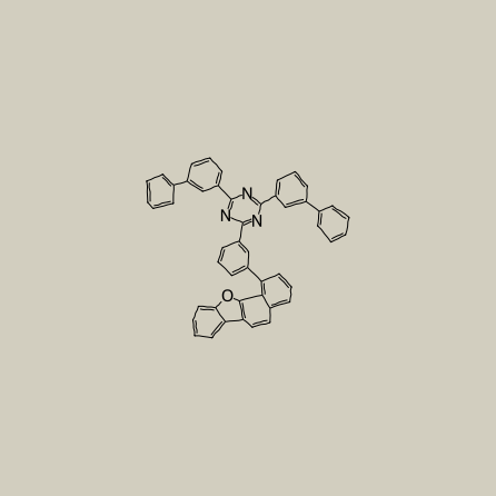 c1ccc(-c2cccc(-c3nc(-c4cccc(-c5ccccc5)c4)nc(-c4cccc(-c5cccc6ccc7c8ccccc8oc7c56)c4)n3)c2)cc1